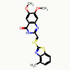 COc1cc2nc(C=[SH]c3nc4c(C)cccc4s3)[nH]c(=O)c2cc1OC